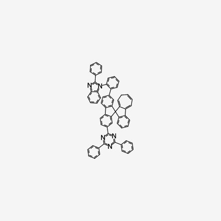 C1=CCC=C2C(=C1)c1ccccc1C21c2cc(-c3nc(-c4ccccc4)nc(-c4ccccc4)n3)ccc2-c2ccc(-c3ccccc3-n3c(-c4ccccc4)nc4ccccc43)cc21